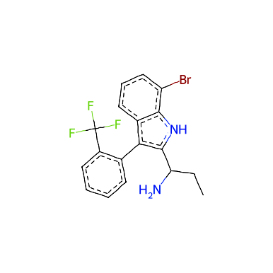 CCC(N)c1[nH]c2c(Br)cccc2c1-c1ccccc1C(F)(F)F